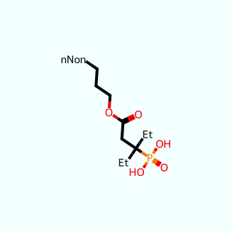 CCCCCCCCCCCCOC(=O)CC(CC)(CC)P(=O)(O)O